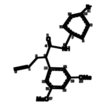 C=CCC(C(=O)Nc1ccc(Br)cc1)c1cc(OC)cc(OC)c1